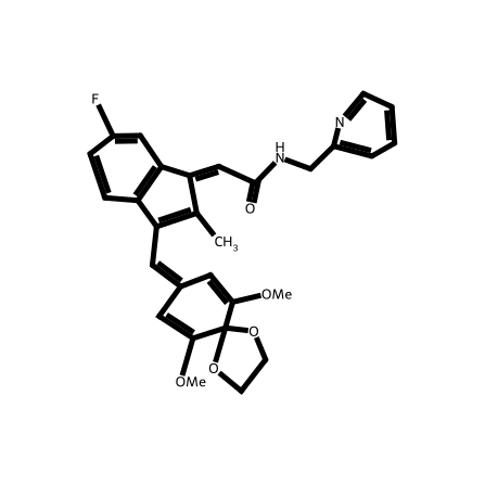 COC1=CC(=CC2=C(C)C(=CC(=O)NCc3ccccn3)c3cc(F)ccc32)C=C(OC)C12OCCO2